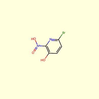 O=[N+](O)c1nc(Br)ccc1O